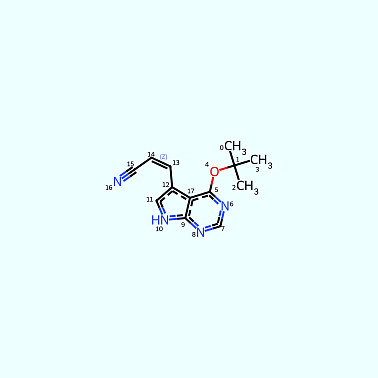 CC(C)(C)Oc1ncnc2[nH]cc(/C=C\C#N)c12